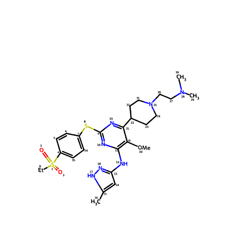 CCS(=O)(=O)c1ccc(Sc2nc(Nc3cc(C)[nH]n3)c(OC)c(C3CCN(CCN(C)C)CC3)n2)cc1